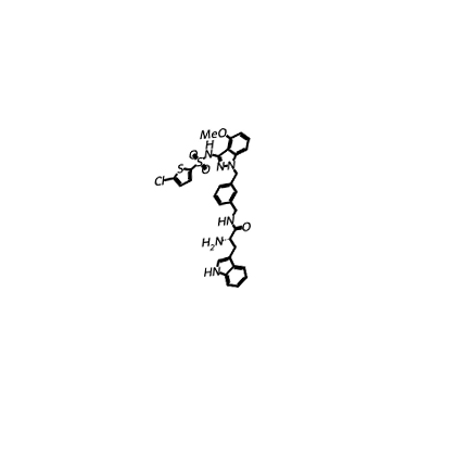 COc1cccc2c1c(NS(=O)(=O)c1ccc(Cl)s1)nn2Cc1cccc(CNC(=O)[C@@H](N)Cc2c[nH]c3ccccc23)c1